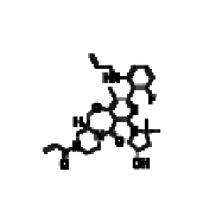 C=CCNc1cccc(F)c1-c1nc(N2C[C@@H](O)CC2(C)C)c2c(c1C)OC[C@H]1CN(C(=O)C=C)CCN1C2=O